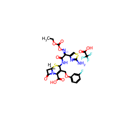 CCOC(=O)O/N=C(\C(=O)NC1S[C@@H]2CC(=O)N2C(C(=O)O)=C1COc1cccc(F)c1)c1csc(N)n1.O=C(O)C(F)(F)F